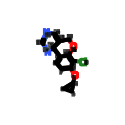 Clc1c(OC2CC2)ccc2c1OCc1cncnc1-2